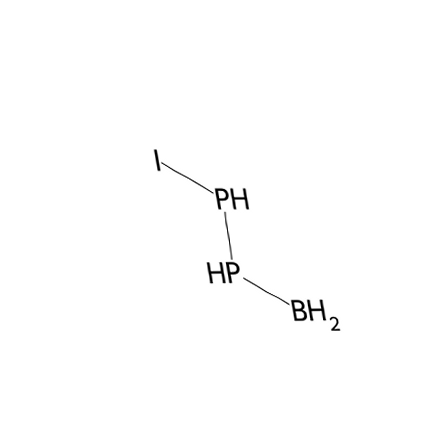 BPPI